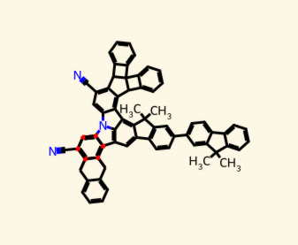 CC1(C)c2ccccc2-c2ccc(-c3ccc4c(c3)C(C)(C)c3c-4cc4c5c6c(c(C#N)cc5n5c7cc(C#N)c8c(c7c3c45)C3c4ccccc4C34c3ccccc3C84)C3c4ccccc4C6c4ccccc43)cc21